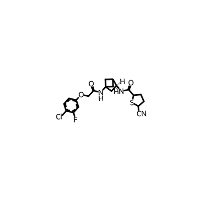 N#CC1CCC(C(=O)N[C@H]2CC3(NC(=O)COc4ccc(Cl)c(F)c4)CC2C3)S1